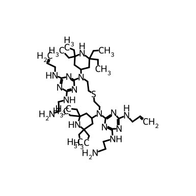 C=CCNc1nc(NCCN)nc(N(CCSCCN(c2nc(NCC=C)nc(NCCN)n2)C2CC(CC)(CC)NC(CC)(CC)C2)C2CC(CC)(CC)NC(CC)(CC)C2)n1